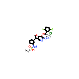 C[C@@H](Oc1c(N)ncc2c(-c3cccc(NS(C)(=O)=O)c3)coc12)c1c(F)ccc(F)c1Cl